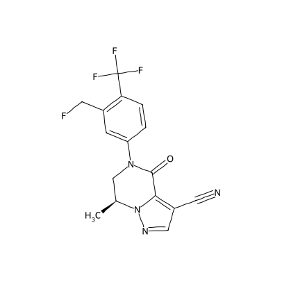 C[C@H]1CN(c2ccc(C(F)(F)F)c(CF)c2)C(=O)c2c(C#N)cnn21